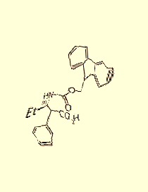 CC[C@@H](NC(=O)OCC1c2ccccc2-c2ccccc21)C(C(=O)O)c1ccccc1